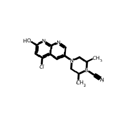 CC1CN(c2cnc3nc(O)cc(Cl)c3c2)CC(C)B1C#N